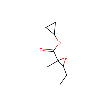 CCC1OC1(C)C(=O)OC1CC1